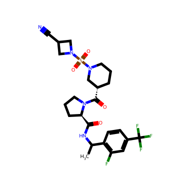 CC(NC(=O)[C@H]1CCCN1C(=O)[C@H]1CCCN(S(=O)(=O)N2CC(C#N)C2)C1)c1ccc(C(F)(F)F)cc1F